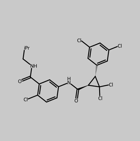 CC(C)CNC(=O)c1cc(NC(=O)[C@H]2[C@H](c3cc(Cl)cc(Cl)c3)C2(Cl)Cl)ccc1Cl